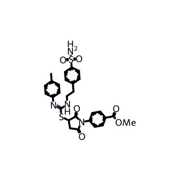 COC(=O)c1ccc(N2C(=O)CC(S/C(=N/c3ccc(C)cc3)NCCc3ccc(S(N)(=O)=O)cc3)C2=O)cc1